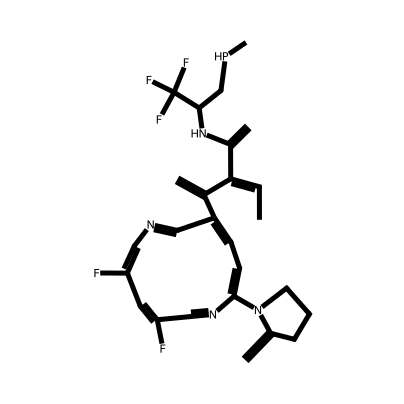 C=C(NC(CPC)C(F)(F)F)/C(=C/C)C(=C)C1=C/C=C(N2CCCC2=C)\N=C\C(F)=C/C(F)=C\N=C\1